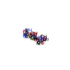 CNC(=O)N(C(=O)c1ccoc1)c1ccccc1CC(=O)NC1C(=O)N2C(C(=O)O)=C(CSc3nnnn3CC(N)=O)CS[C@@H]12